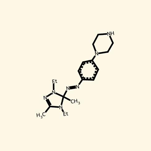 CCN1N=C(C)N(CC)C1(C)N=Nc1ccc(N2CCNCC2)cc1